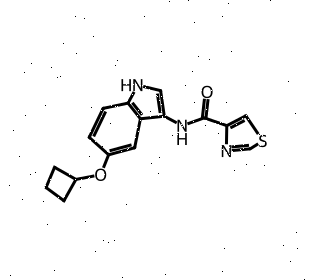 O=C(Nc1c[nH]c2ccc(OC3CCC3)cc12)c1cscn1